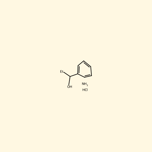 CCC(O)c1ccccc1.Cl.N